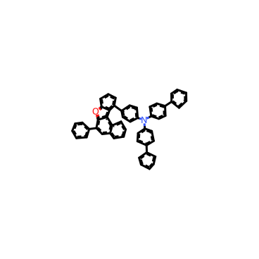 c1ccc(-c2ccc(N(c3ccc(-c4ccccc4)cc3)c3ccc(-c4cccc5oc6c(-c7ccccc7)cc7ccccc7c6c45)cc3)cc2)cc1